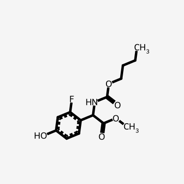 CCCCOC(=O)NC(C(=O)OC)c1ccc(O)cc1F